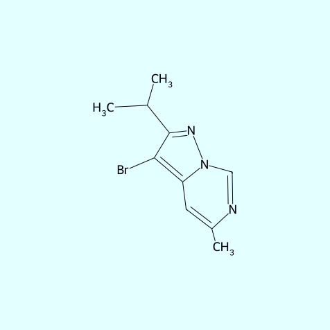 Cc1cc2c(Br)c(C(C)C)nn2cn1